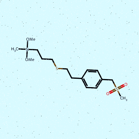 CO[Si](C)(CCCSCCc1ccc(CS(C)(=O)=O)cc1)OC